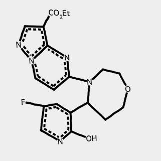 CCOC(=O)c1cnn2ccc(N3CCOCCC3c3cc(F)cnc3O)nc12